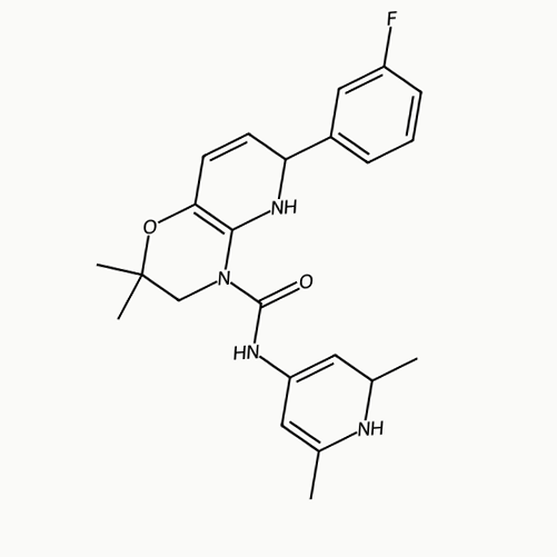 CC1=CC(NC(=O)N2CC(C)(C)OC3=C2NC(c2cccc(F)c2)C=C3)=CC(C)N1